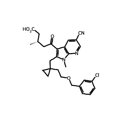 C[C@H](CC(=O)O)CC(=O)c1c(CC2(CCOCc3cccc(Cl)c3)CC2)n(C)c2ncc(C#N)cc12